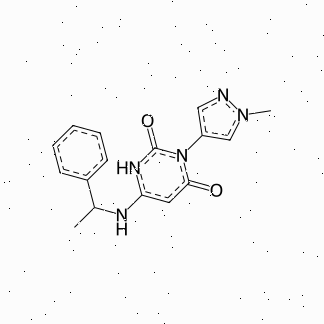 CC(Nc1cc(=O)n(-c2cnn(C)c2)c(=O)[nH]1)c1ccccc1